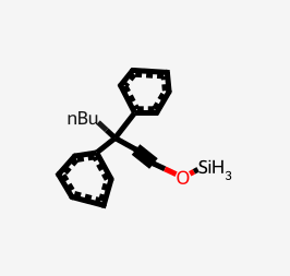 CCCCC(C#CO[SiH3])(c1ccccc1)c1ccccc1